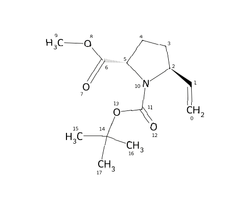 C=C[C@@H]1CC[C@@H](C(=O)OC)N1C(=O)OC(C)(C)C